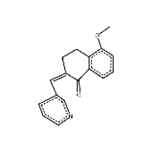 COc1cccc2c1CC/C(=C/c1cccnc1)C2=O